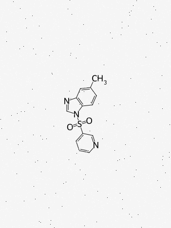 Cc1ccc2c(c1)ncn2S(=O)(=O)c1cccnc1